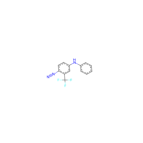 N#[N+]c1ccc(Nc2ccccc2)cc1C(F)(F)F